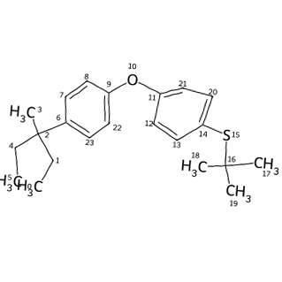 CCC(C)(CC)c1ccc(Oc2ccc(SC(C)(C)C)cc2)cc1